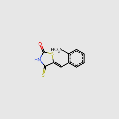 O=C1NC(=S)C(=Cc2ccccc2S(=O)(=O)O)S1